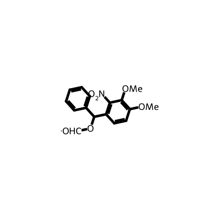 COc1ccc(C(O[C]=O)c2ccccc2)c([N+](=O)[O-])c1OC